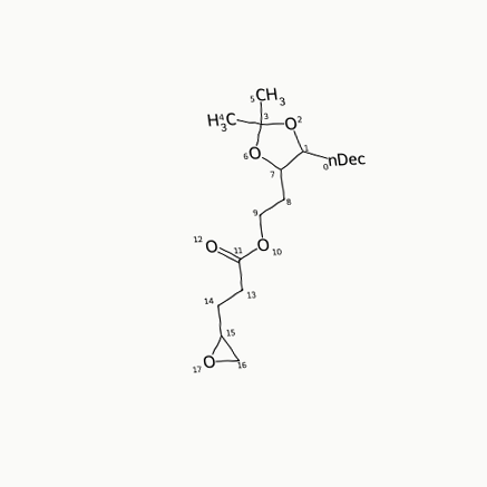 CCCCCCCCCCC1OC(C)(C)OC1CCOC(=O)CCC1CO1